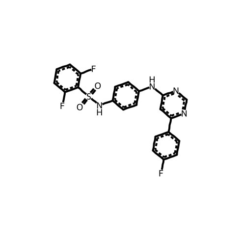 O=S(=O)(Nc1ccc(Nc2cc(-c3ccc(F)cc3)ncn2)cc1)c1c(F)cccc1F